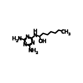 CCCCCCC(O)Nc1nc(N)nc(N)n1